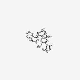 COc1cc2c(cc1-c1c(C)noc1C)[nH]c1nc(C)nc(-c3ccnc4c3CCCO4)c12